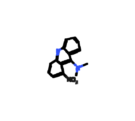 CN(C)c1c2ccccc2nc2cccc([N+](=O)[O-])c12